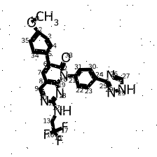 COc1ccc(-c2cc3cnc(NCC(F)(F)F)nc3n(-c3ccc(-c4nc[nH]n4)cc3)c2=O)cc1